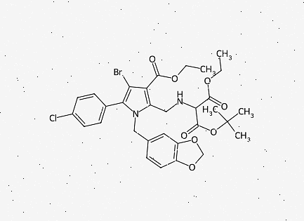 CCOC(=O)c1c(Br)c(-c2ccc(Cl)cc2)n(Cc2ccc3c(c2)OCO3)c1CNC(C(=O)OCC)C(=O)OC(C)(C)C